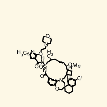 CO[C@H]1/C=C/C[C@H](C)CS(=O)(NC(=O)c2cn(C)nc2OCCN2CCOCC2)=NC(=O)c2ccc3c(c2)N(C[C@@H]2CC[C@H]21)C[C@@]1(CCCc2cc(Cl)ccc21)CO3